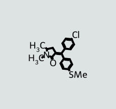 CSc1ccc(/C(=C2/CC(C)N(C)C2=O)c2ccc(Cl)cc2)cc1